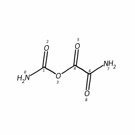 NC(=O)OC(=O)C(N)=O